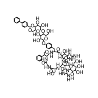 CC(c1ccccc1)C1NC(=O)CNC(=O)C(CO)NC(=O)C(C(O)C2CNC(=N)N2C2OC(CO)C(O)C(O)C2O)NC(=O)C(C(O)C2CNC(=N)N2)NC(=O)C(Cc2ccc(OC3OC(CO)C(OC4OC5COC(c6ccc(-c7ccccc7)cc6)OC5C(O)C4O)C(O)C3O)cc2)NC1=O